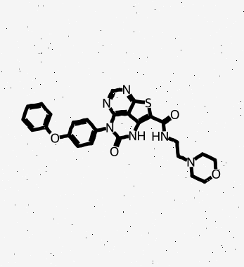 O=C(NCCN1CCOCC1)c1sc2ncnc3c2c1NC(=O)N3c1ccc(Oc2ccccc2)cc1